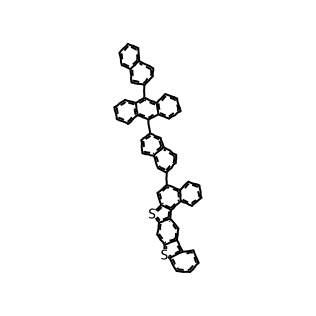 c1ccc2cc(-c3c4ccccc4c(-c4ccc5cc(-c6cc7sc8cc9sc%10ccccc%10c9cc8c7c7ccccc67)ccc5c4)c4ccccc34)ccc2c1